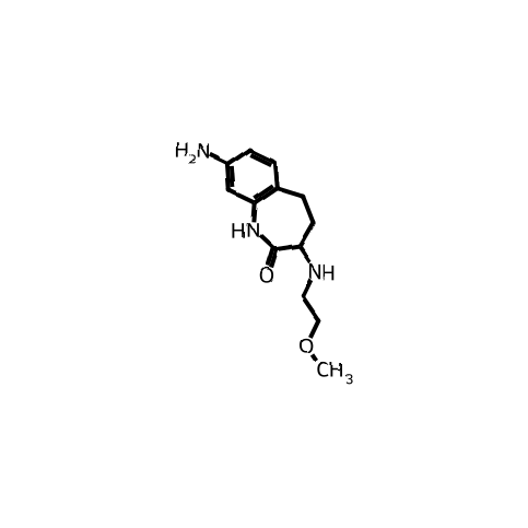 COCCNC1CCc2ccc(N)cc2NC1=O